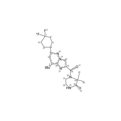 CC(C)(C)c1cc(C2CCC(F)(F)CC2)nn2cc(C(=O)N3CCNC(=O)C3(C)C)nc12